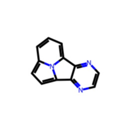 c1cc2ccc3c4nccnc4c(c1)n23